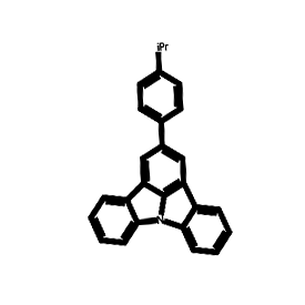 CC(C)c1ccc(-c2cc3c4ccccc4n4c5ccccc5c(c2)c34)cc1